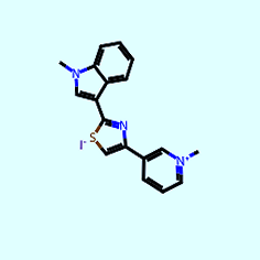 Cn1cc(-c2nc(-c3ccc[n+](C)c3)cs2)c2ccccc21.[I-]